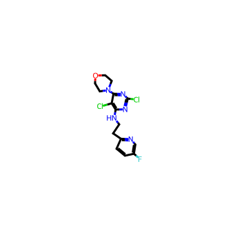 Fc1ccc(CCNc2nc(Cl)nc(N3CCOCC3)c2Cl)nc1